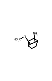 NC1C2CCC(CC2)C1OC(=O)O